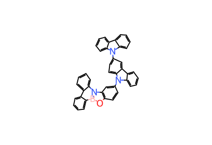 c1ccc2c(c1)B1Oc3ccc(-n4c5ccccc5c5cc(-n6c7ccccc7c7ccccc76)ccc54)cc3N1c1ccccc1-2